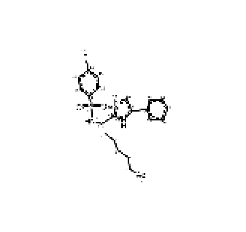 CC(=O)CCCCC[C@H](NS(=O)(=O)c1ccc(F)cc1)c1ncc(-c2ccccc2)[nH]1